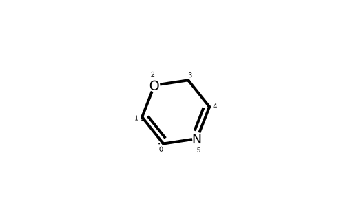 [C]1=[C]OCC=N1